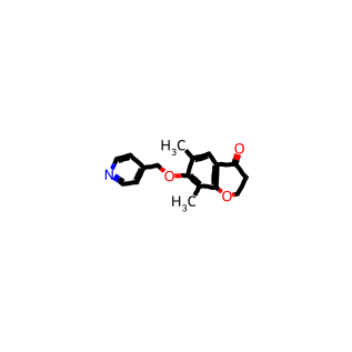 Cc1cc2c(c(C)c1OCc1ccncc1)OCCC2=O